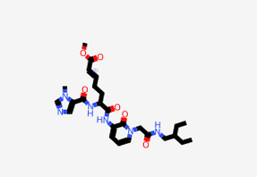 CCC(CC)CNC(=O)Cn1cccc(NC(=O)C(CC/C=C/C(=O)OC)NC(=O)c2cncn2C)c1=O